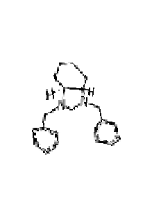 c1ccc(CN2CN(Cc3ccccc3)[C@H]3CCCC[C@@H]32)cc1